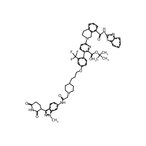 Cn1nc(C2CCC(=O)NC2=O)c2ccc(NC(=O)CN3CCC(CCCOc4ccc(-c5ccc(N6CCc7cccc(C(=O)Nc8nc9ccccc9s8)c7C6)nc5C(=O)OC(C)(C)C)c(C(F)(F)F)c4)CC3)cc21